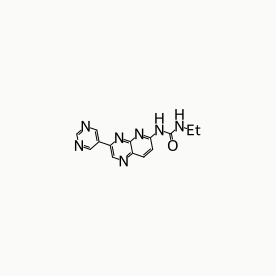 CCNC(=O)Nc1ccc2ncc(-c3cncnc3)nc2n1